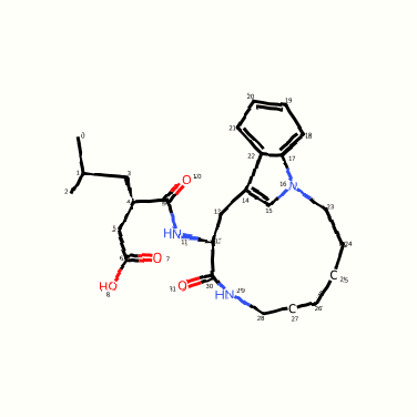 CC(C)C[C@H](CC(=O)O)C(=O)N[C@H]1Cc2cn(c3ccccc23)CCCCCCNC1=O